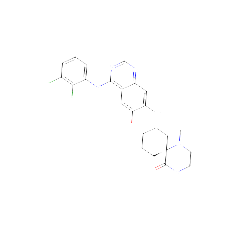 COc1cc2ncnc(Nc3cccc(Cl)c3F)c2cc1O[C@H]1CC[C@]2(CC1)C(=O)NCCN2C